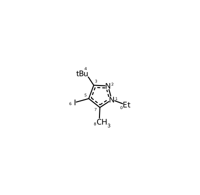 CCn1nc(C(C)(C)C)c(I)c1C